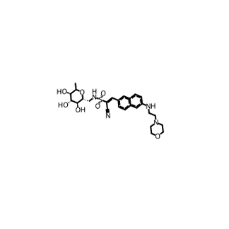 CC1O[C@H](CNS(=O)(=O)/C(C#N)=C/c2ccc3cc(NCCN4CCOCC4)ccc3c2)[C@@H](O)[C@H](O)[C@H]1O